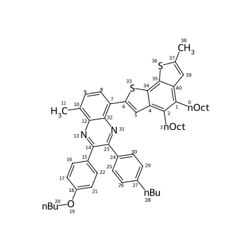 CCCCCCCCc1c(CCCCCCCC)c2cc(-c3ccc(C)c4nc(-c5ccc(OCCCC)cc5)c(-c5ccc(CCCC)cc5)nc34)sc2c2sc(C)cc12